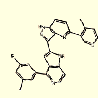 Cc1cc(F)cc(-c2nccc3[nH]c(-c4n[nH]c5ccc(-c6cnccc6C)nc45)cc23)c1